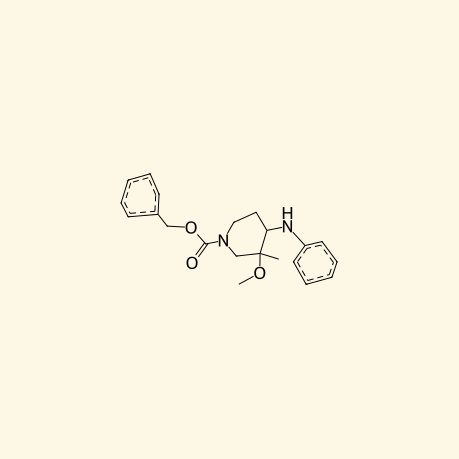 COC1(C)CN(C(=O)OCc2ccccc2)CCC1Nc1ccccc1